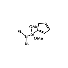 CCN(CC)[Si](OC)(OC)C1=CC=CC1